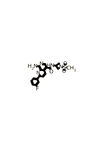 CS(=O)(=O)N1CC(NC(=O)c2cnc(N)c3nc(-c4cccc(F)c4)ccc23)C1